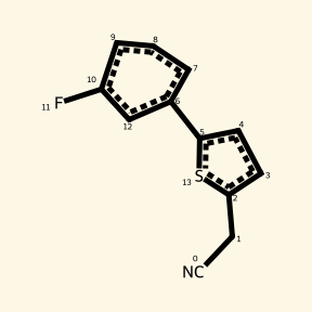 N#CCc1ccc(-c2cccc(F)c2)s1